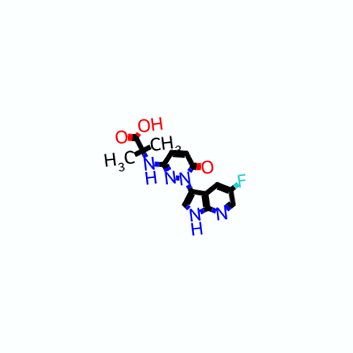 CC(C)(Nc1ccc(=O)n(-c2c[nH]c3ncc(F)cc23)n1)C(=O)O